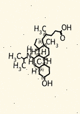 CC(C)NC1C[C@@H]2C[C@H](O)CC[C@]2(C)[C@H]2CC[C@]3(C)[C@@H]([C@H](C)CCC(=O)O)CC[C@H]3[C@H]12